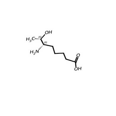 C[C@H](O)[C@@H](N)CCCCC(=O)O